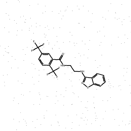 O=C(NCCNc1nsc2ccccc12)c1cc(C(F)(F)F)ccc1C(F)(F)F